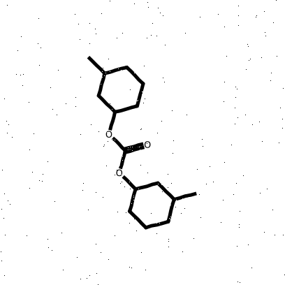 CC1CCCC(OC(=O)OC2CCCC(C)C2)C1